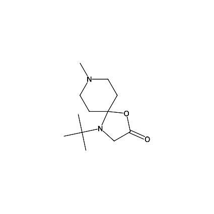 CN1CCC2(CC1)OC(=O)CN2C(C)(C)C